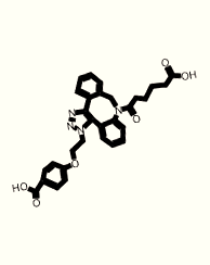 O=C(O)CCCCC(=O)N1Cc2ccccc2-c2nnn(CCOc3ccc(C(=O)O)cc3)c2-c2ccccc21